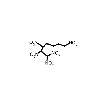 O=[N+]([O-])CCCCC(C(C([N+](=O)[O-])[N+](=O)[O-])[N+](=O)[O-])[N+](=O)[O-]